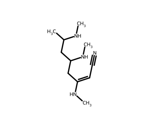 CNC(=CC#N)CC(CC(C)NC)NC